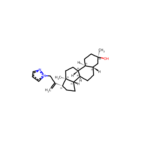 C=C(Cn1cccn1)[C@H]1CC[C@H]2[C@@H]3CC[C@H]4C[C@](C)(O)CC[C@@H]4[C@H]3CC[C@]12C